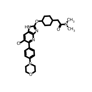 CN(C)C(=O)CC1CCC(Oc2nc3nc(-c4ccc(N5CCOCC5)cc4)c(Cl)cc3[nH]2)CC1